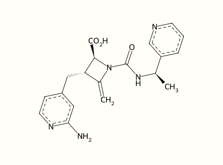 C=C1[C@H](Cc2ccnc(N)c2)[C@@H](C(=O)O)N1C(=O)N[C@H](C)c1cccnc1